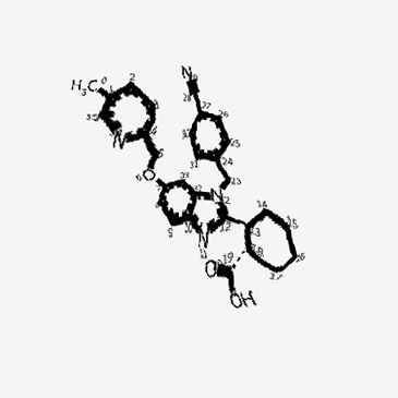 Cc1ccc(COc2ccc3nc([C@H]4CCCC[C@@H]4C(=O)O)n(Cc4ccc(C#N)cc4)c3c2)nc1